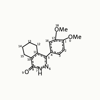 COc1ccc(-c2n[nH]c(=O)c3c2CCCC3)cc1OC